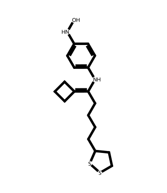 ONc1ccc(NC(CCCCC2CCSS2)=C2CCC2)cc1